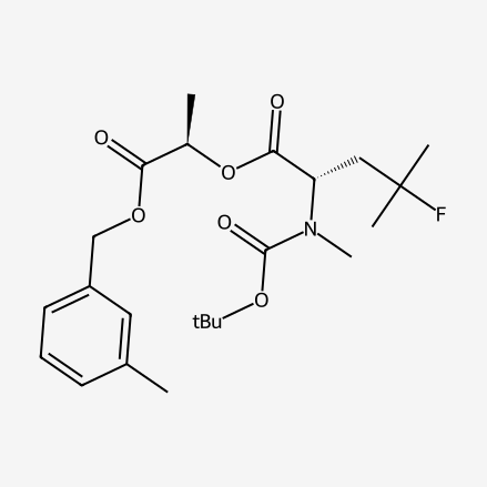 Cc1cccc(COC(=O)[C@@H](C)OC(=O)[C@H](CC(C)(C)F)N(C)C(=O)OC(C)(C)C)c1